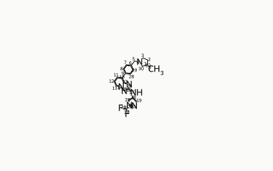 C[C@H]1CCN(Cc2ccc(-c3cccn4nc(Nc5cnn(C(F)F)c5)nc34)cc2)C1